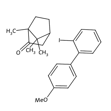 CC12CCC(CC1=O)C2(C)C.COc1ccc(-c2ccccc2I)cc1